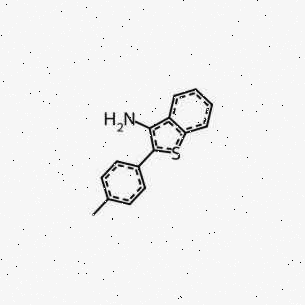 Cc1ccc(-c2sc3ccccc3c2N)cc1